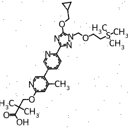 Cc1cc(OCC(C)(C)C(=O)O)ncc1-c1ccc(-c2nc(OCC3CC3)n(COCCS(C)(C)C)n2)nc1